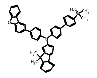 CC1(C)c2ccccc2-c2ccc(N(c3ccc(-c4ccc([Si](C)(C)C)cc4)cc3)c3ccc(-c4ccc5oc6ccccc6c5c4)cc3)cc21